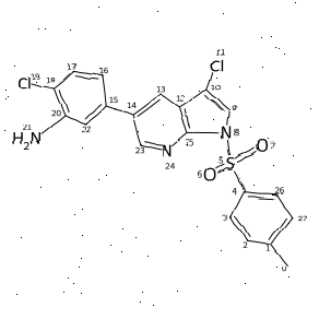 Cc1ccc(S(=O)(=O)n2cc(Cl)c3cc(-c4ccc(Cl)c(N)c4)cnc32)cc1